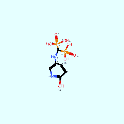 O=P(O)(O)C(Nc1ccc(O)nc1)P(=O)(O)O